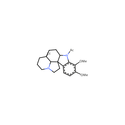 CCC12CCCN3CCC4(c5ccc(OC)c(OC)c5N(C(C)=O)C4CC1)C32